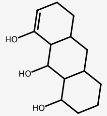 OC1=CCCC2CC3CCCC(O)C3C(O)C12